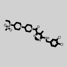 CCN(C1CCN(C2CCN(C(=O)c3ncnc(NCc4ccc(Cl)c(Cl)c4)c3C)CC2)CC1)S(C)(=O)=O